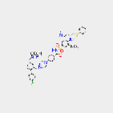 CN(C)CCC(CSc1ccccc1)Nc1ccc(S(=O)(=O)NC(=O)c2ccc(N3CCN(Cc4cc(CNC(=O)O)ccc4-c4ccc(Cl)cc4)CC3)cc2)cc1[N+](=O)[O-]